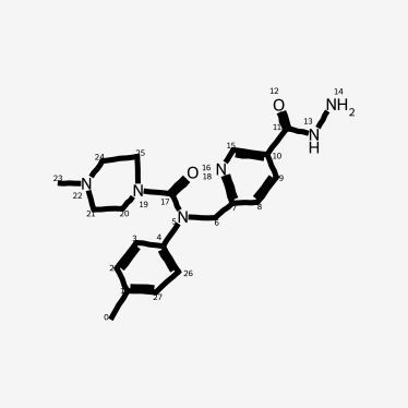 Cc1ccc(N(Cc2ccc(C(=O)NN)cn2)C(=O)N2CCN(C)CC2)cc1